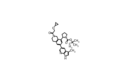 Cc1c[nH]c2ncc(-c3cc4c(c(C5CCCN5C(=O)OC(C)(C)C)c3)CN(C(=O)COC3CC3)CC4)cc12